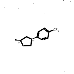 C[C@@H]1CC[C@H](c2ccc(C(F)(F)F)cc2)C1